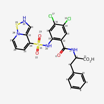 O=C(NC(Cc1ccccc1)C(=O)O)c1cc(Cl)c(Cl)cc1NS(=O)(=O)C1=CC=CN2SNC=C12